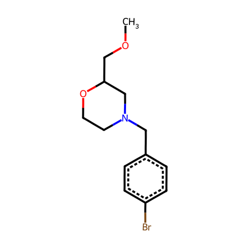 COCC1CN(Cc2ccc(Br)cc2)CCO1